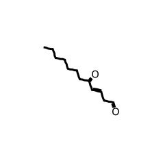 CCCCCCCC(=O)C=CCC=O